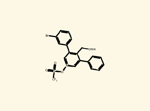 COCc1c(-c2ccccc2)c[n+](OS(=O)(=O)C(F)(F)F)cc1-c1cccc(Br)c1